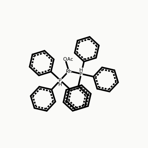 CC(=O)[O][Rh]([PH](c1ccccc1)(c1ccccc1)c1ccccc1)[PH](c1ccccc1)(c1ccccc1)c1ccccc1